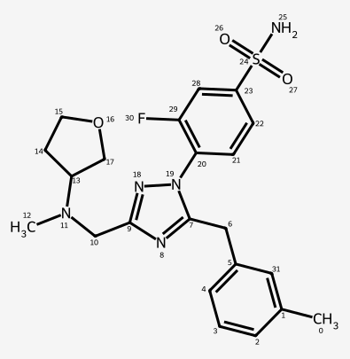 Cc1cccc(Cc2nc(CN(C)C3CCOC3)nn2-c2ccc(S(N)(=O)=O)cc2F)c1